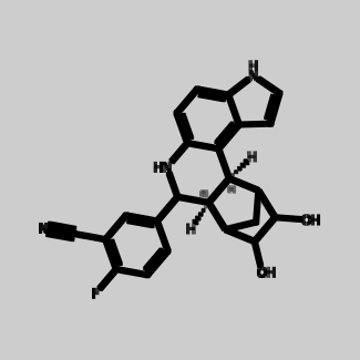 N#Cc1cc(C2Nc3ccc4[nH]ccc4c3[C@H]3C4CC(C(O)C4O)[C@@H]23)ccc1F